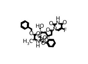 C[C@H](N[P@](=O)(Oc1ccccc1)O[C@H](CO)[C@H]1O[C@@H](n2cc(F)c(=O)[nH]c2=O)C[C@@H]1O)C(=O)OCc1ccccc1